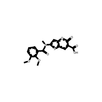 COc1cccc(C(=O)N(C)c2cc3oc(=O)c(C(=O)O)cc3s2)c1OC